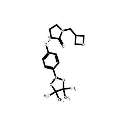 CC1(C)OB(c2ccc(O[C@@H]3CCN(CC4COC4)C3=O)cc2)OC1(C)C